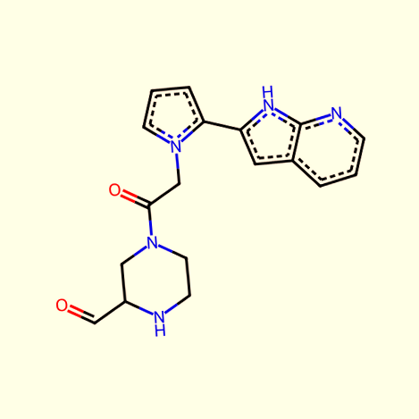 O=CC1CN(C(=O)Cn2cccc2-c2cc3cccnc3[nH]2)CCN1